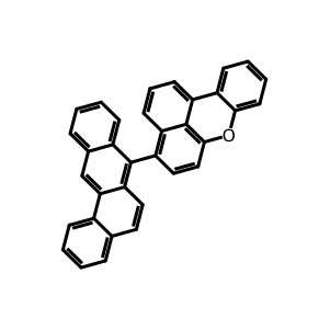 c1ccc2c(c1)Oc1ccc(-c3c4ccccc4cc4c3ccc3ccccc34)c3cccc-2c13